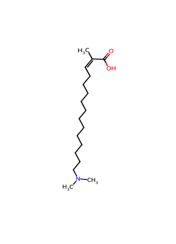 CC(=CCCCCCCCCCCCCN(C)C)C(=O)O